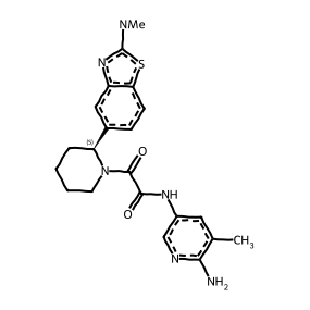 CNc1nc2cc([C@@H]3CCCCN3C(=O)C(=O)Nc3cnc(N)c(C)c3)ccc2s1